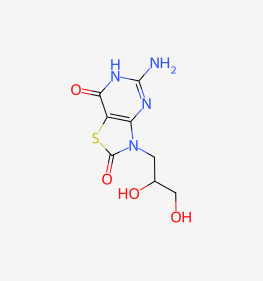 Nc1nc2c(sc(=O)n2CC(O)CO)c(=O)[nH]1